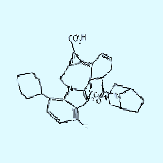 CN1CC2CCC(C1)N2C(=O)[C@@H]1CC=CC2=C3C(=C3C(=O)O)Cn3c(cc4c(F)ccc(C5CCCCC5)c43)[C@H]21